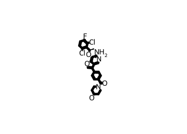 C[C@@H](Oc1c(N)ncc2c(-c3ccc(C(=O)N4CCC(=O)CC4)cc3)coc12)c1c(Cl)ccc(F)c1Cl